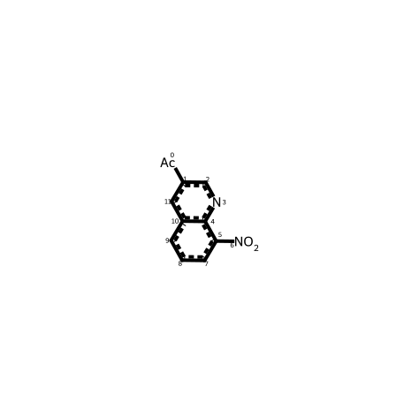 CC(=O)c1cnc2c([N+](=O)[O-])cccc2c1